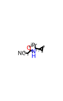 CC(C)C(NC(=O)CC#N)C1CC1